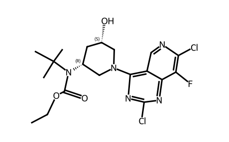 CCOC(=O)N([C@@H]1C[C@H](O)CN(c2nc(Cl)nc3c(F)c(Cl)ncc23)C1)C(C)(C)C